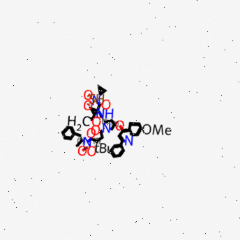 C=CC1CC1(NC(=O)[C@@H]1C[C@@H](Oc2cc(-c3ccccc3)nc3cc(OC)ccc23)CN1C(=O)C[C@H](C(=O)N1C(=O)OC[C@@H]1Cc1ccccc1)C(C)(C)C)C(=O)N(C1CC1)[SH](=O)=O